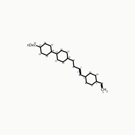 C=CC1CCC(/C=C/CCC2CCC(C3CCC(CCCCCCCCCC)CC3)CC2)CC1